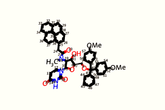 COc1ccc(C(OC[C@H]2O[C@@H](n3ccc(=O)[nH]c3=O)C(N(C)C(=O)Cc3ccc4ccc5cccc6ccc3c4c56)C2O)(c2ccccc2)c2ccc(OC)cc2)cc1